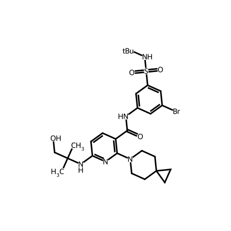 CC(C)(C)NS(=O)(=O)c1cc(Br)cc(NC(=O)c2ccc(NC(C)(C)CO)nc2N2CCC3(CC2)CC3)c1